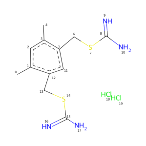 Cc1cc(C)c(CSC(=N)N)cc1CSC(=N)N.Cl.Cl